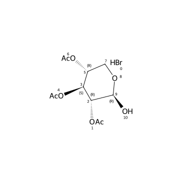 Br.CC(=O)O[C@@H]1[C@@H](OC(C)=O)[C@H](OC(C)=O)CO[C@H]1O